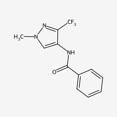 Cn1cc(NC(=O)c2ccccc2)c(C(F)(F)F)n1